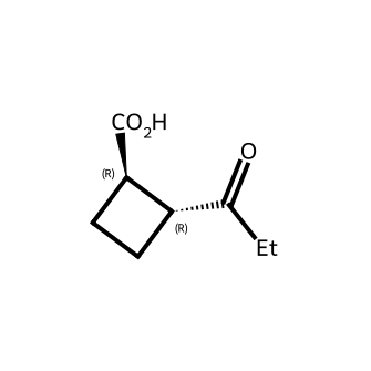 CCC(=O)[C@@H]1CC[C@H]1C(=O)O